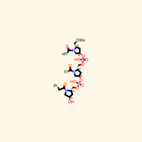 CCCC(=O)N1C[C@H](OP(=O)(O)OC[C@@H]2C[C@@H](OP(=O)(O)OC[C@@H]3C[C@@H](O)CN3C(=O)CC(C)C)CN2C(=O)CC)C[C@H]1COC